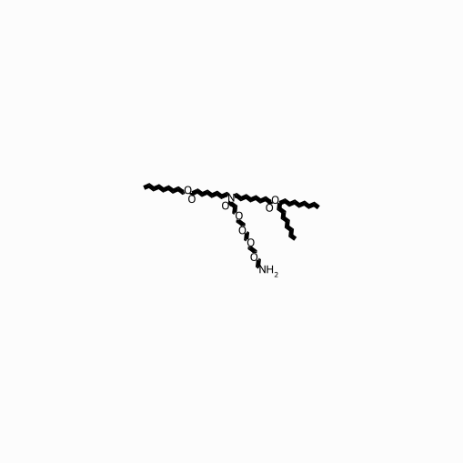 CCCCCCCCCOC(=O)CCCCCCCN(CCCCCCCC(=O)OC(CCCCCCCC)CCCCCCCC)C(=O)CCOCCOCCOCCOCCN